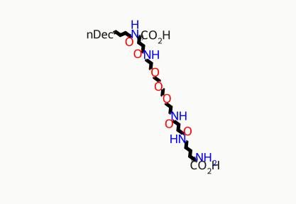 CCCCCCCCCCCCCC(=O)N[C@@H](CCC(=O)NCCCOCCOCCOCCCNC(=O)CCC(=O)NCCCC[C@H](N)C(=O)O)C(=O)O